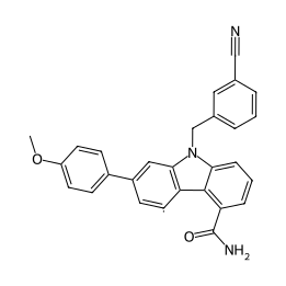 COc1ccc(-c2c[c]c3c4c(C(N)=O)cccc4n(Cc4cccc(C#N)c4)c3c2)cc1